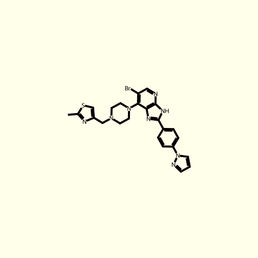 Cc1nc(CN2CCN(c3c(Br)cnc4[nH]c(-c5ccc(-n6cccn6)cc5)nc34)CC2)cs1